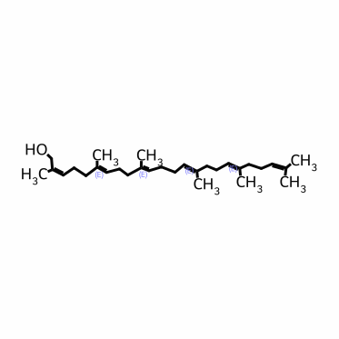 CC(C)=CCC/C(C)=C/CC/C(C)=C/CC/C=C(\C)CC/C=C(\C)CCC=C(C)CO